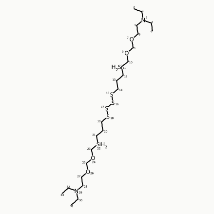 CCN(CC)CCOCOC[SiH2]CCCSSSSCCC[SiH2]COCOCCN(CC)CC